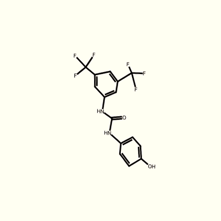 O=C(Nc1ccc(O)cc1)Nc1cc(C(F)(F)F)cc(C(F)(F)F)c1